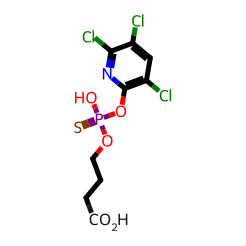 O=C(O)CCCOP(O)(=S)Oc1nc(Cl)c(Cl)cc1Cl